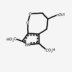 CCCCCCCCC1COOc2c(C(=O)O)[nH]c(C(=O)O)c2C1